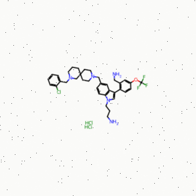 Cl.Cl.NCCCn1cc(-c2ccc(OC(F)(F)F)cc2CN)c2cc(CN3CCC4(CCCN(Cc5ccccc5Cl)C4)CC3)ccc21